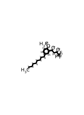 CCCCCCCCCc1ccc(OC)c(C(=O)CC(=O)C(F)(F)F)c1